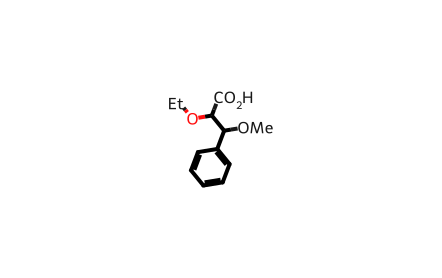 CCOC(C(=O)O)C(OC)c1ccccc1